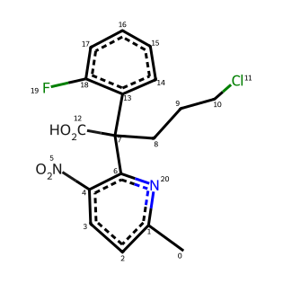 Cc1ccc([N+](=O)[O-])c(C(CCCCl)(C(=O)O)c2ccccc2F)n1